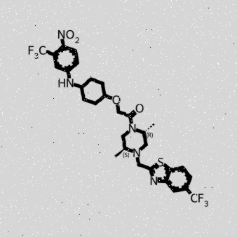 C[C@@H]1CN(Cc2nc3cc(C(F)(F)F)ccc3s2)[C@@H](C)CN1C(=O)COC1CCC(Nc2ccc([N+](=O)[O-])c(C(F)(F)F)c2)CC1